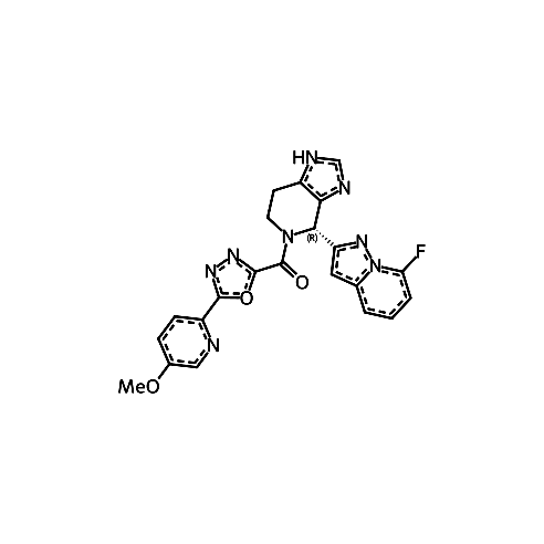 COc1ccc(-c2nnc(C(=O)N3CCc4[nH]cnc4[C@@H]3c3cc4cccc(F)n4n3)o2)nc1